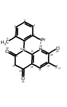 Cc1cccc(C(C)C)c1N1C(=O)CC(=O)c2cc(F)c(Cl)nc21